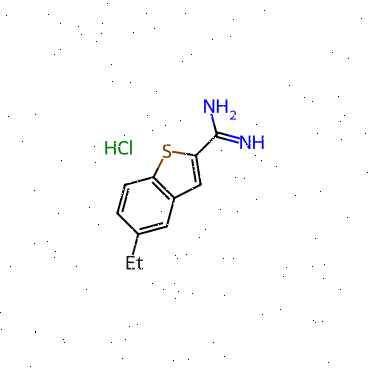 CCc1ccc2sc(C(=N)N)cc2c1.Cl